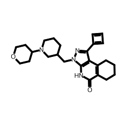 O=c1[nH]c2c(c(C3=CC=C3)nn2CC2CCCN(C3CCOCC3)C2)c2c1CCCC2